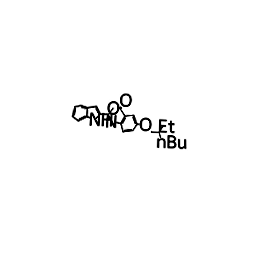 CCCCC(CC)COc1ccc2nc(-c3cc4ccccc4[nH]3)oc(=O)c2c1